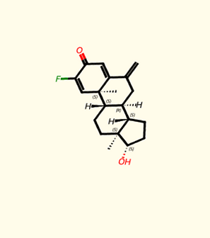 C=C1C[C@H]2[C@@H]3CC[C@H](O)[C@@]3(C)CC[C@@H]2[C@@]2(C)C=C(F)C(=O)C=C12